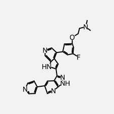 CN(C)CCOc1cc(F)cc(-c2cncc3[nH]c(-c4n[nH]c5ncc(-c6ccncc6)cc45)cc23)c1